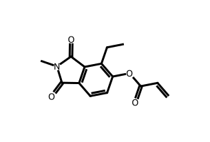 C=CC(=O)Oc1ccc2c(c1CC)C(=O)N(C)C2=O